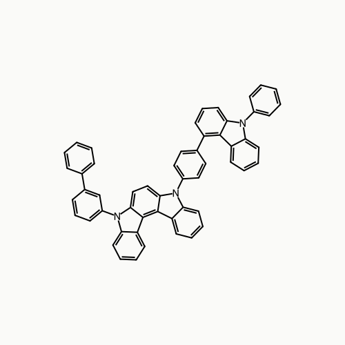 c1ccc(-c2cccc(-n3c4ccccc4c4c5c6ccccc6n(-c6ccc(-c7cccc8c7c7ccccc7n8-c7ccccc7)cc6)c5ccc43)c2)cc1